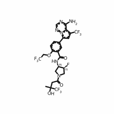 CC(O)(CC(=O)N1C[C@H](F)[C@H](NC(=O)c2cc(-c3cc(C(F)(F)F)c4c(N)ncnn34)ccc2OCC(F)(F)F)C1)C(F)(F)F